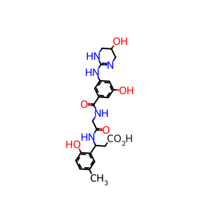 Cc1ccc(O)c(C(CC(=O)O)NC(=O)CNC(=O)c2cc(O)cc(NC3=NCC(O)CN3)c2)c1